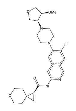 CO[C@@H]1COC[C@@H]1N1CCN(c2cc3cc(NC(=O)[C@H]4CC45CCOCC5)ncc3cc2Cl)CC1